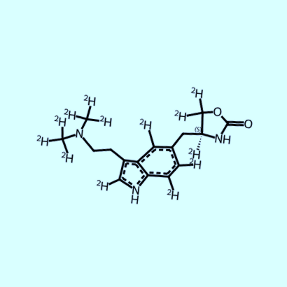 [2H]c1[nH]c2c([2H])c([2H])c(C[C@]3([2H])NC(=O)OC3([2H])[2H])c([2H])c2c1CCN(C([2H])([2H])[2H])C([2H])([2H])[2H]